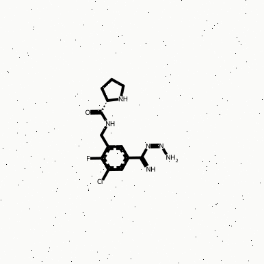 N=C(/N=N\N)c1cc(Cl)c(F)c(CNC(=O)[C@@H]2CCCN2)c1